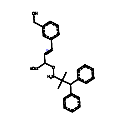 CCCCCCCCC(/C=C/c1cccc(CO)c1)O[SiH2]C(C)(C)C(c1ccccc1)c1ccccc1